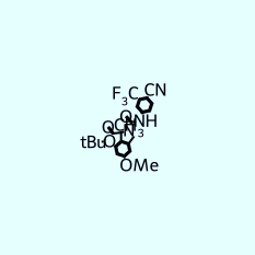 COc1ccc2c(c1)CN(C(=O)Nc1ccc(C#N)c(C(F)(F)F)c1)C2(C)C(=O)OC(C)(C)C